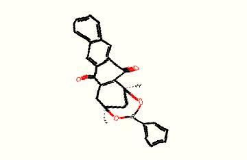 C[C@]12CC3=C(C(=O)c4cc5ccccc5cc4C3=O)[C@H](C1)OB(c1ccccc1)O2